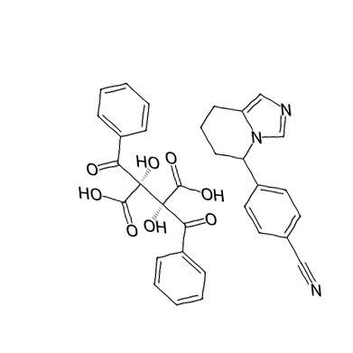 N#Cc1ccc(C2CCCc3cncn32)cc1.O=C(O)[C@@](O)(C(=O)c1ccccc1)[C@@](O)(C(=O)O)C(=O)c1ccccc1